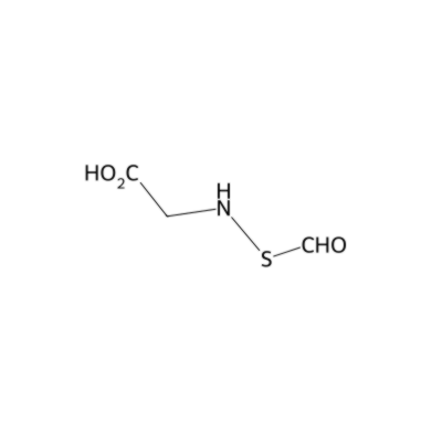 O=CSNCC(=O)O